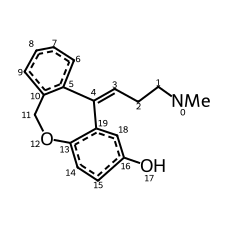 CNCCC=C1c2ccccc2COc2ccc(O)cc21